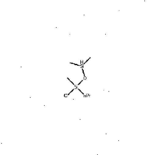 CCC[Si](C)(Cl)O[SiH](C)C